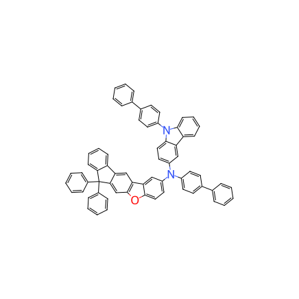 c1ccc(-c2ccc(N(c3ccc4oc5cc6c(cc5c4c3)-c3ccccc3C6(c3ccccc3)c3ccccc3)c3ccc4c(c3)c3ccccc3n4-c3ccc(-c4ccccc4)cc3)cc2)cc1